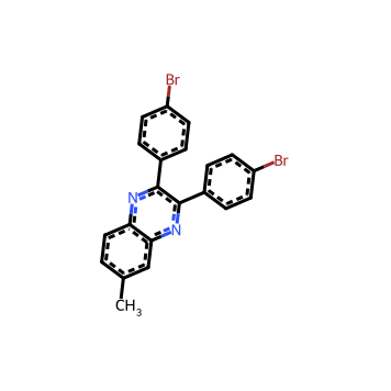 Cc1ccc2nc(-c3ccc(Br)cc3)c(-c3ccc(Br)cc3)nc2c1